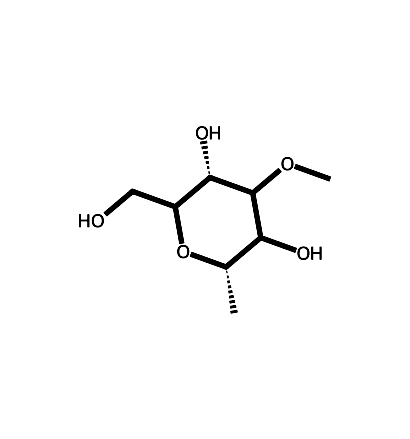 COC1C(O)[C@H](C)OC(CO)[C@@H]1O